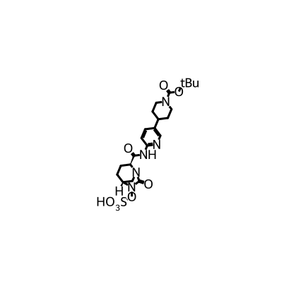 CC(C)(C)OC(=O)N1CCC(c2ccc(NC(=O)[C@@H]3CC[C@@H]4CN3C(=O)N4OS(=O)(=O)O)nc2)CC1